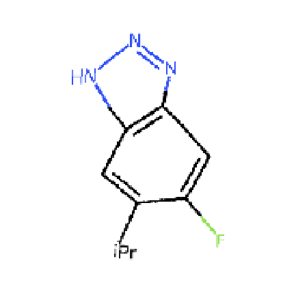 CC(C)c1cc2[nH]nnc2cc1F